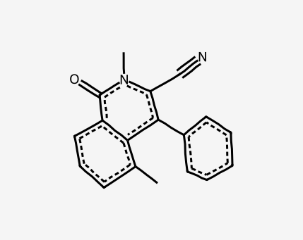 Cc1cccc2c(=O)n(C)c(C#N)c(-c3ccccc3)c12